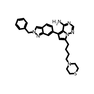 Nc1ncnn2c(CCCCN3CCSCC3)cc(-c3ccc4cn(Cc5ccccc5)nc4c3)c12